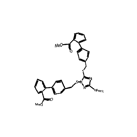 CCCCCc1nc(SCc2ccc(-c3ccccc3C(=O)OC)cc2)n(SCc2ccc(-c3ccccc3C(=O)OC)cc2)n1